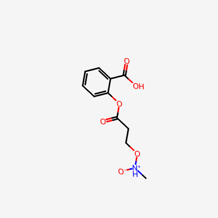 C[NH+]([O-])OCCC(=O)Oc1ccccc1C(=O)O